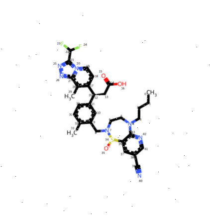 CCCCN1CCN(Cc2cc([C@H](CC(=O)O)c3ccn4c(C(F)F)nnc4c3C)ccc2C)[S+]([O-])c2cc(C#N)cnc21